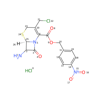 Cl.NC1C(=O)N2C(C(=O)OCc3ccc([N+](=O)[O-])cc3)=C(CCl)CS[C@H]12